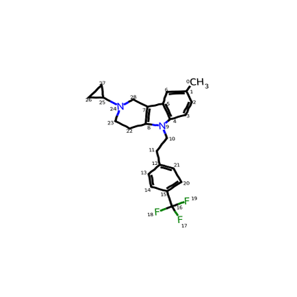 Cc1ccc2c(c1)c1c(n2CCc2ccc(C(F)(F)F)cc2)CCN(C2CC2)C1